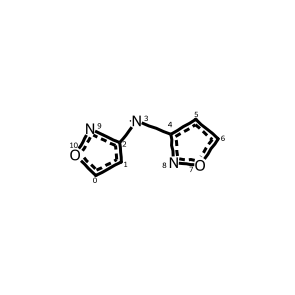 c1cc([N]c2ccon2)no1